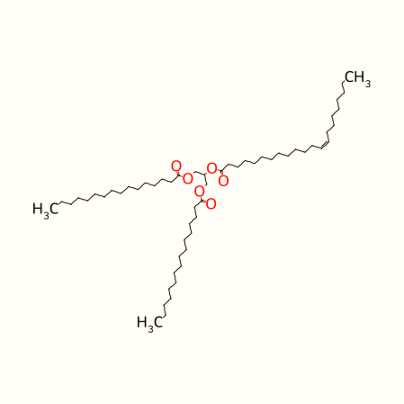 CCCCCCCC/C=C\CCCCCCCCCCCC(=O)OC(COC(=O)CCCCCCCCCCCCCCC)COC(=O)CCCCCCCCCCCCCCC